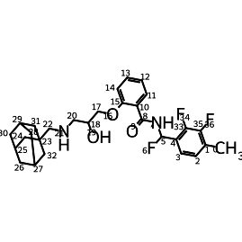 Cc1ccc(C(F)NC(=O)c2ccccc2OCC(O)CNCC23CC4CC(CC(C4)C2)C3)c(F)c1F